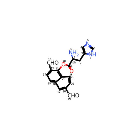 N[C@@H](Cc1cnc[nH]1)C(=O)Oc1c(C=O)ccc2cc(C=O)ccc12